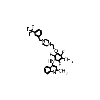 Cc1cc(Nc2c(F)c(C)c(F)c(OCCN3CCN(Cc4cccc(C(F)(F)F)c4)CC3)c2F)c2ccccc2n1